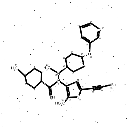 B=C(C1CCC(C)CC1)N(c1cc(C#CC(C)(C)C)sc1C(=O)O)N(C)[C@H]1CC[C@H](Oc2cccnc2)CC1